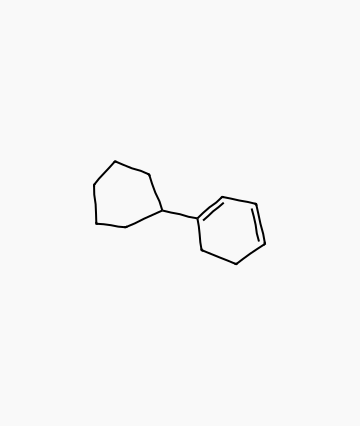 C1=CCCC(C2CCCCC2)=C1